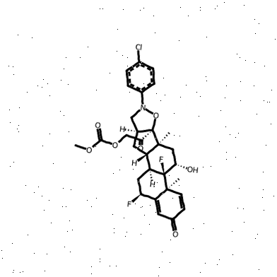 COC(=O)OCC(=O)[C@@]12ON(c3ccc(Cl)cc3)C[C@@H]1C[C@H]1[C@@H]3C[C@H](F)C4=CC(=O)C=C[C@]4(C)[C@@]3(F)[C@@H](O)C[C@@]12C